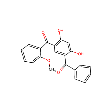 COc1ccccc1C(=O)c1cc(C(=O)c2ccccc2)c(O)cc1O